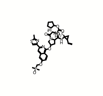 C=CC1CC1(NC(=O)C1CC(Oc2nc(-c3csc(C)n3)cc3cc(OCP(C)(C)=O)ccc23)CN1C(=O)C(NC(=O)OC1CCCC1)C(C)C)C(=O)O